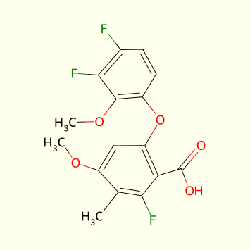 COc1cc(Oc2ccc(F)c(F)c2OC)c(C(=O)O)c(F)c1C